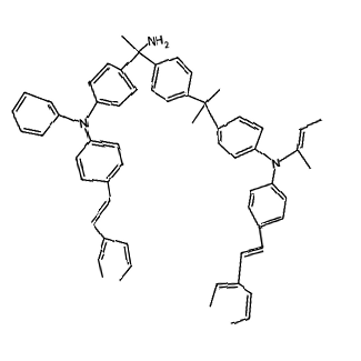 C\C=C/C(/C=C/c1ccc(N(/C(C)=C/C)c2ccc(C(C)(C)c3ccc(C(C)(N)c4ccc(N(c5ccccc5)c5ccc(/C=C/C(/C=C\C)=C/C)cc5)cc4)cc3)cc2)cc1)=C\C